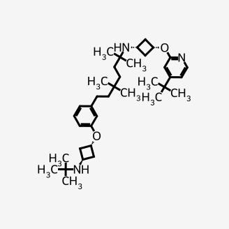 CC(C)(CCc1cccc(O[C@H]2C[C@H](NC(C)(C)C)C2)c1)CCC(C)(C)N[C@H]1C[C@@H](Oc2cc(C(C)(C)C)ccn2)C1